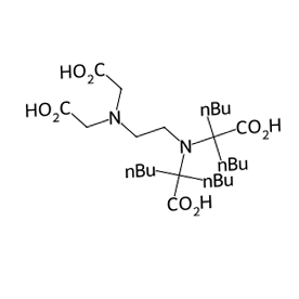 CCCCC(CCCC)(C(=O)O)N(CCN(CC(=O)O)CC(=O)O)C(CCCC)(CCCC)C(=O)O